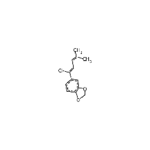 CC(C)=CC=C(Cl)c1ccc2c(c1)OCO2